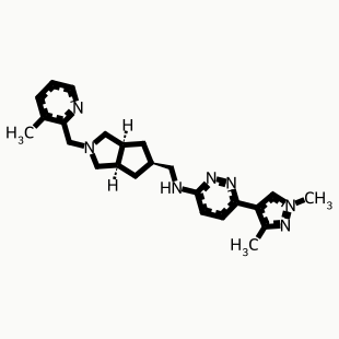 Cc1cccnc1CN1C[C@H]2C[C@@H](CNc3ccc(-c4cn(C)nc4C)nn3)C[C@H]2C1